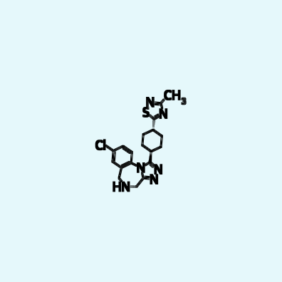 Cc1nsc([C@H]2CC[C@H](c3nnc4n3-c3ccc(Cl)cc3CNC4)CC2)n1